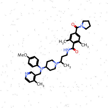 COc1ccc(N(Cc2cnccc2C)C2CCN(C(C)CCNC(=O)c3c(C)cc(C(=O)N4CCCC4)cc3C)CC2)cc1